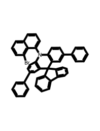 Brc1cccc2cccc(N3c4ccc(-c5ccccc5)cc4C4(c5ccccc5-c5ccccc54)c4cc(-c5ccccc5)ccc43)c12